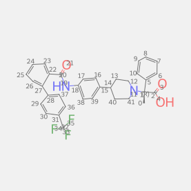 C[C@](C(=O)O)(c1ccccc1)N1CCC(c2ccc(NC(=O)c3ccccc3-c3ccc(C(F)(F)F)cc3)cc2)CC1